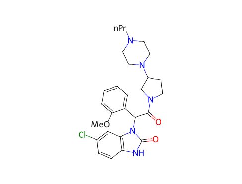 CCCN1CCN(C2CCN(C(=O)C(c3ccccc3OC)n3c(=O)[nH]c4ccc(Cl)cc43)C2)CC1